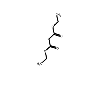 CCOC(=O)[C]C(=O)OCC